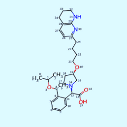 CC(C)O[C@H](C)c1ccccc1[C@H](C(=O)O)N1CC[C@@H](OCCCCc2ccc3c(n2)NCCC3)C1